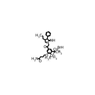 Br.CCCC1CN(CC(=O)c2cc(OCCCC(N)=O)c(OC)c(C(C)(C)C)c2)C(=N)C1c1ccccc1